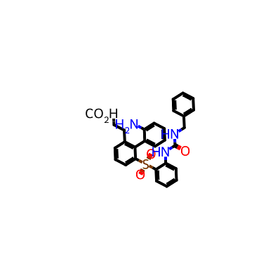 Nc1ccccc1-c1c(CCC(=O)O)cccc1S(=O)(=O)c1ccccc1NC(=O)NCc1ccccc1